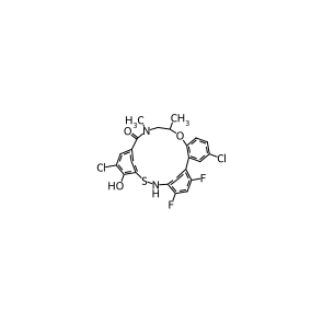 CC1CN(C)C(=O)c2cc(Cl)c(O)c(c2)SNc2cc(c(F)cc2F)-c2cc(Cl)ccc2O1